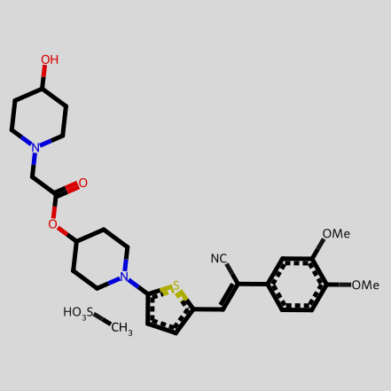 COc1ccc(/C(C#N)=C/c2ccc(N3CCC(OC(=O)CN4CCC(O)CC4)CC3)s2)cc1OC.CS(=O)(=O)O